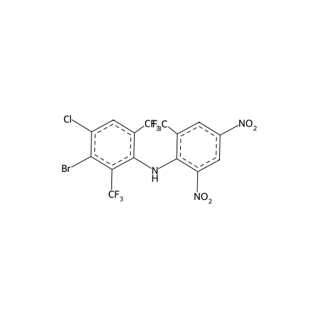 O=[N+]([O-])c1cc([N+](=O)[O-])c(Nc2c(C(F)(F)F)cc(Cl)c(Br)c2C(F)(F)F)c(C(F)(F)F)c1